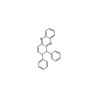 C1=CC(c2ccccc2)C(c2ccccc2)c2nc3ccccc3nc21